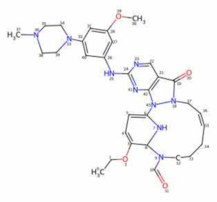 CCOC1=CC=C2NC1N(C=O)CCC/C=C\Cn1c(=O)c3cnc(Nc4cc(OC)cc(N5CCN(C)CC5)c4)nc3n12